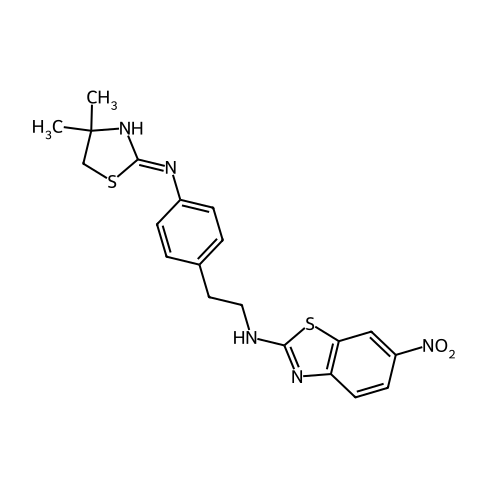 CC1(C)CS/C(=N\c2ccc(CCNc3nc4ccc([N+](=O)[O-])cc4s3)cc2)N1